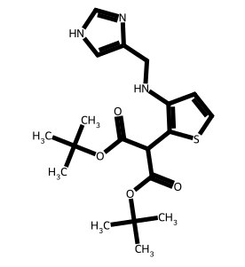 CC(C)(C)OC(=O)C(C(=O)OC(C)(C)C)c1sccc1NCc1c[nH]cn1